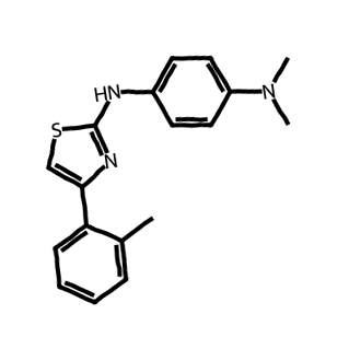 Cc1ccccc1-c1csc(Nc2ccc(N(C)C)cc2)n1